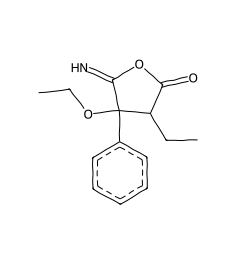 CCOC1(c2ccccc2)C(=N)OC(=O)C1CC